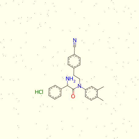 Cc1ccc(N(CCc2ccc(C#N)cc2)C(=O)C(N)c2ccccc2)cc1C.Cl